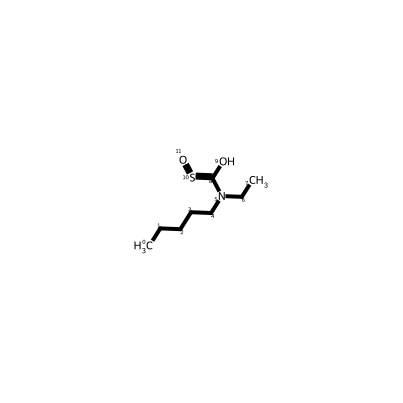 CCCCCN(CC)C(O)=S=O